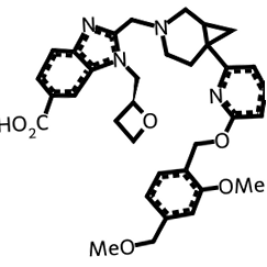 COCc1ccc(COc2cccc(C34CCN(Cc5nc6ccc(C(=O)O)cc6n5C[C@@H]5CCO5)CC3C4)n2)c(OC)c1